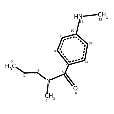 CCCN(C)C(=O)c1ccc(NC)cc1